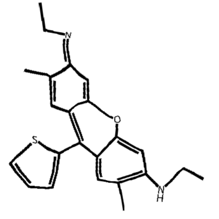 CC/N=c1/cc2oc3cc(NCC)c(C)cc3c(-c3cccs3)c-2cc1C